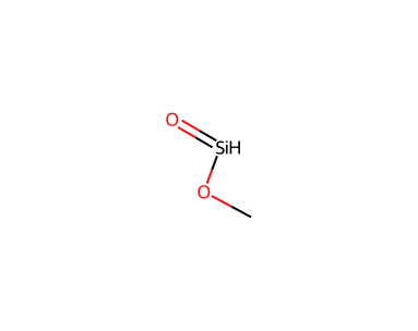 CO[SiH]=O